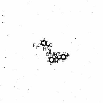 O=C(CNC(=O)c1cccc(C(F)(F)F)c1)N[C@H]1CCCC[C@@H]1NCc1ccc(F)cc1C(F)(F)F